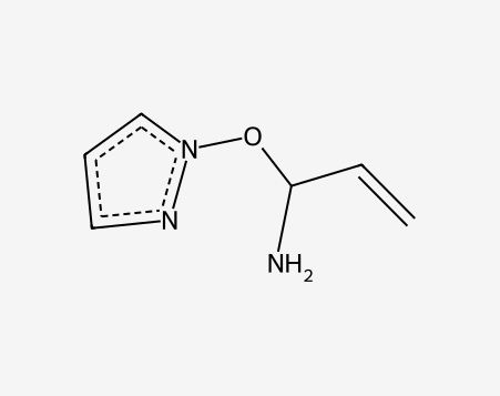 C=CC(N)On1cccn1